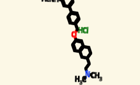 CC(=O)Nc1cccc(-c2ccc(COc3ccc4c(c3)CCC(CCN(C)C)C4)cc2)c1.Cl